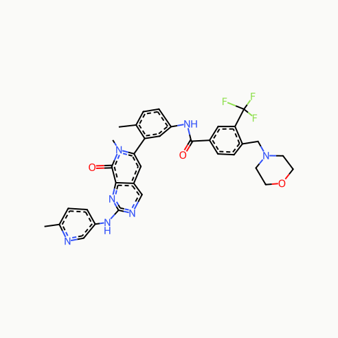 Cc1ccc(Nc2ncc3cc(-c4cc(NC(=O)c5ccc(CN6CCOCC6)c(C(F)(F)F)c5)ccc4C)n(C)c(=O)c3n2)cn1